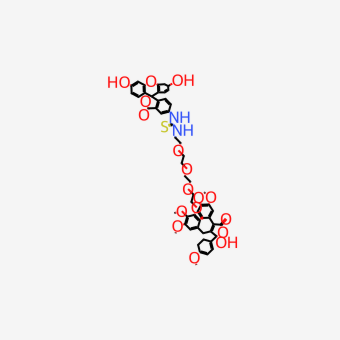 COC1=CC=C(C2(O)OC(=O)C(c3ccc4c(c3)OCO4)=C2Cc2cc(OC)c(OC)c(OCCOCCOCCOCCNC(=S)Nc3ccc4c(c3)C(=O)OC43C4=C(CC(O)C=C4)Oc4cc(O)ccc43)c2)CC1